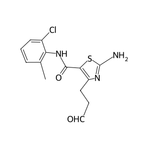 Cc1cccc(Cl)c1NC(=O)c1sc(N)nc1CCC=O